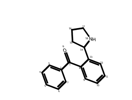 O=C(c1ccccc1)c1ccccc1C1CCCN1